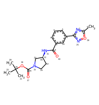 Cc1nc(-c2cccc(C(=O)N[C@H]3CCN(C(=O)OC(C)(C)C)C3)c2)no1